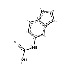 O=C(O)Nc1cnc2nccn2c1